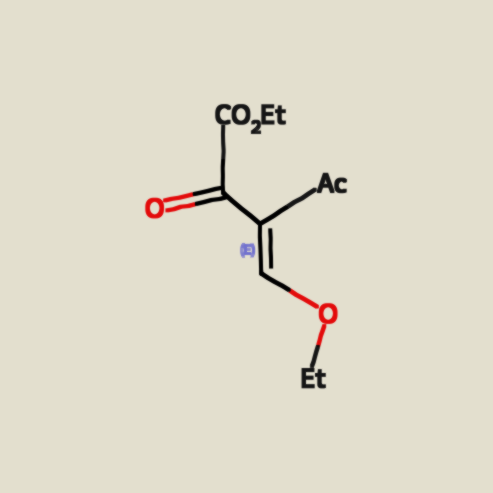 CCO/C=C(\C(C)=O)C(=O)C(=O)OCC